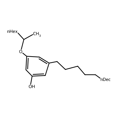 CCCCCCCCCCCCCCCc1cc(O)cc(OC(C)CCCCCC)c1